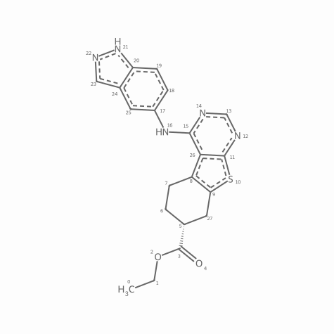 CCOC(=O)[C@@H]1CCc2c(sc3ncnc(Nc4ccc5[nH]ncc5c4)c23)C1